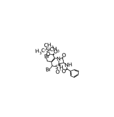 C[Si](C)(C)OC(=O)C1=C(CBr)C(Br)[S+]([O-])[C@H]2C(NC(=O)c3ccccc3)C(=O)N12